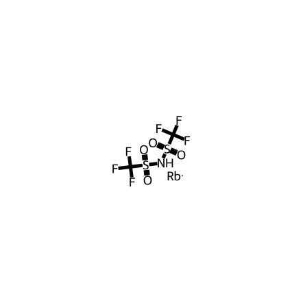 O=S(=O)(NS(=O)(=O)C(F)(F)F)C(F)(F)F.[Rb]